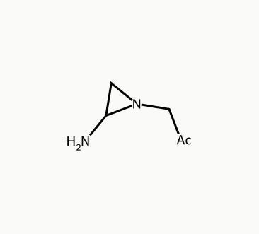 CC(=O)CN1CC1N